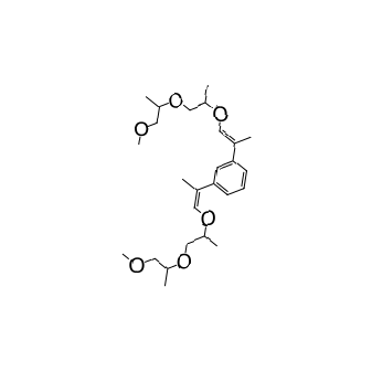 COCC(C)OCC(C)OC=C(C)c1cccc(/C(C)=C\OC(C)COC(C)COC)c1